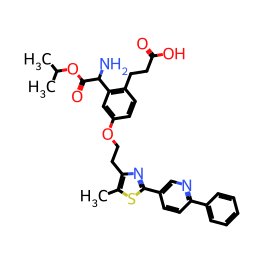 Cc1sc(-c2ccc(-c3ccccc3)nc2)nc1CCOc1ccc(CCC(=O)O)c(C(N)C(=O)OC(C)C)c1